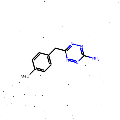 COc1ccc(Cc2nnc(N)nn2)cc1